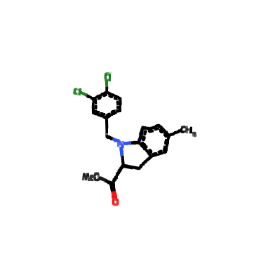 COC(=O)C1Cc2cc(C)ccc2N1Cc1ccc(Cl)c(Cl)c1